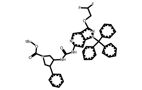 CC(C)(C)OC(=O)N1CC(NC(=O)Nc2cc3c(cn2)c(OCC(F)F)nn3C(c2ccccc2)(c2ccccc2)c2ccccc2)C(c2ccccc2)C1